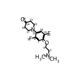 CN(C)CCOc1cc(F)c(N2CCC(=O)CC2)cc1F